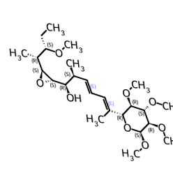 CC[C@H](OC)[C@@H](C)[C@@H]1O[C@H]1[C@H](O)[C@@H](C)/C=C/C=C(\C)[C@H]1O[C@H](OC)[C@H](OC)[C@@H](OC)[C@@H]1OC